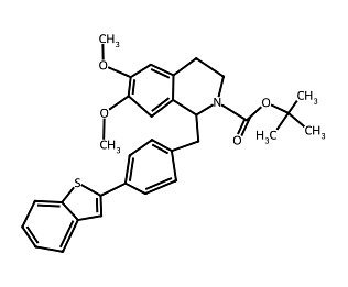 COc1cc2c(cc1OC)C(Cc1ccc(-c3cc4ccccc4s3)cc1)N(C(=O)OC(C)(C)C)CC2